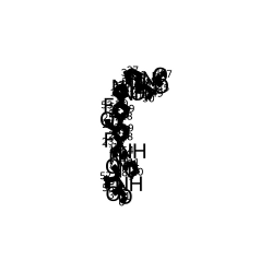 COC(=O)N[C@H](C(=O)N1CCC[C@H]1c1ncc(-c2ccc3c(c2F)COc2c-3ccc(-c3cnc([C@@H]4CCCN4C(=O)[C@@H](NC(=O)OC)C(C)C)[nH]3)c2F)[nH]1)C(C)C